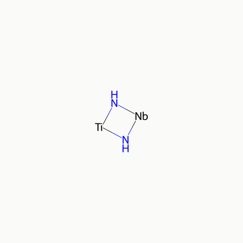 [NH]1[Ti][NH][Nb]1